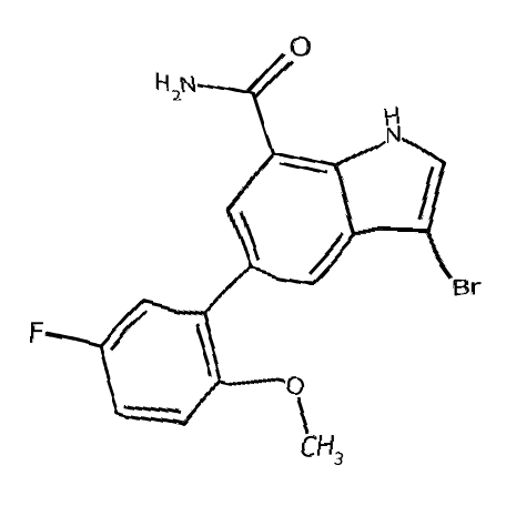 COc1ccc(F)cc1-c1cc(C(N)=O)c2[nH]cc(Br)c2c1